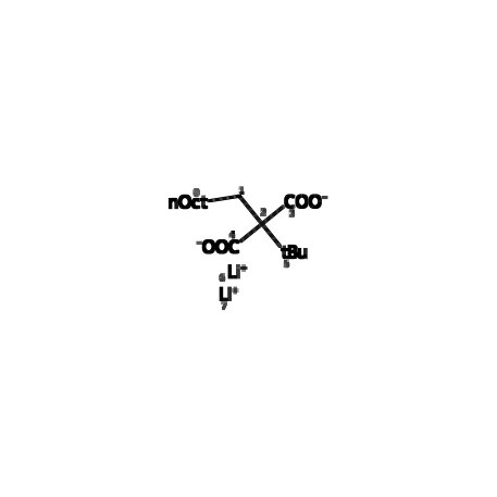 CCCCCCCCCC(C(=O)[O-])(C(=O)[O-])C(C)(C)C.[Li+].[Li+]